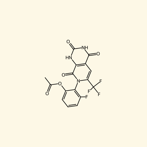 CC(=O)Oc1cccc(F)c1-n1c(C(F)(F)F)cc2c(=O)[nH]c(=O)[nH]c2c1=O